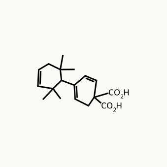 CC1(C)C=CCC(C)(C)C1C1=CCC(C(=O)O)(C(=O)O)C=C1